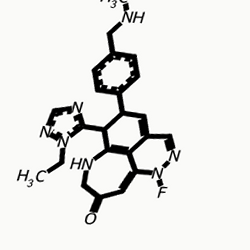 CCn1ncnc1C1C2=C3C(=CC1c1ccc(CNC)cc1)C=NN(F)C3=CC(=O)CN2